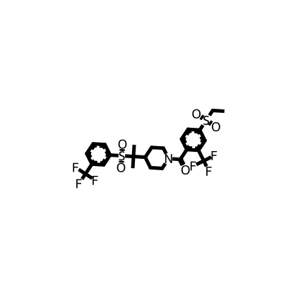 CCS(=O)(=O)c1ccc(C(=O)N2CCC(C(C)(C)S(=O)(=O)c3cccc(C(F)(F)F)c3)CC2)c(C(F)(F)F)c1